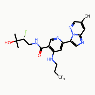 CC(C)(O)[C@H](F)CNC(=O)c1cnc(-c2cnc3cc(C#N)cnn23)cc1NCCC(F)(F)F